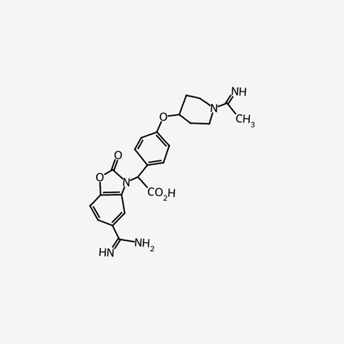 CC(=N)N1CCC(Oc2ccc(C(C(=O)O)n3c(=O)oc4ccc(C(=N)N)cc43)cc2)CC1